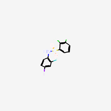 O=S(=O)(Nc1ccc(I)cc1F)c1cccc(Cl)c1Cl